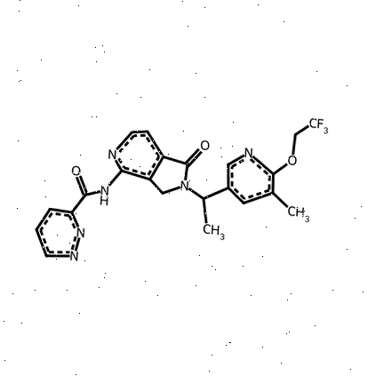 Cc1cc(C(C)N2Cc3c(ccnc3NC(=O)c3cccnn3)C2=O)cnc1OCC(F)(F)F